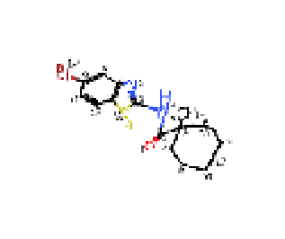 CC1(C(=O)Nc2nc3cc(Br)ccc3s2)CCCCCC1